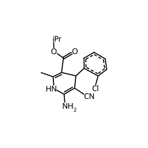 CC1=C(C(=O)OC(C)C)C(c2ccccc2Cl)C(C#N)=C(N)N1